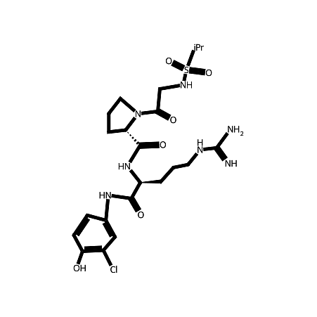 CC(C)S(=O)(=O)NCC(=O)N1CCC[C@H]1C(=O)N[C@@H](CCCNC(=N)N)C(=O)Nc1ccc(O)c(Cl)c1